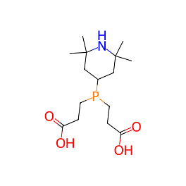 CC1(C)CC(P(CCC(=O)O)CCC(=O)O)CC(C)(C)N1